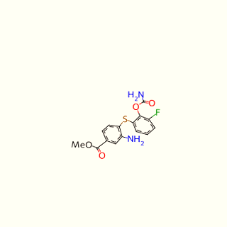 COC(=O)c1ccc(Sc2cccc(F)c2OC(N)=O)c(N)c1